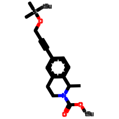 CC1c2ccc(C#CCO[Si](C)(C)C(C)(C)C)cc2CCN1C(=O)OC(C)(C)C